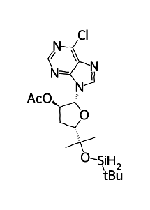 CC(=O)O[C@@H]1C[C@@H](C(C)(C)O[SiH2]C(C)(C)C)O[C@H]1n1cnc2c(Cl)ncnc21